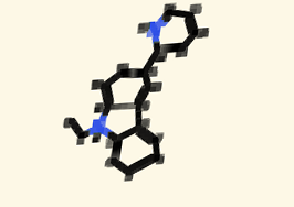 CCn1c2ccccc2c2cc(-c3ccccn3)ccc21